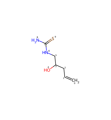 C=CCC(O)CNC(N)=S